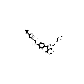 CS(C)(C)CCOCn1nc(-c2ccc(NC(=O)Nc3cc(C4(C(F)(F)F)CC4)no3)c(F)c2)c2c(N)ncnc21